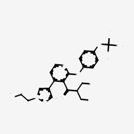 CCC(CC)C(=N)c1c(-c2cnn(CCO)c2)ccnc1Nc1ccc(OC(F)(F)F)cc1